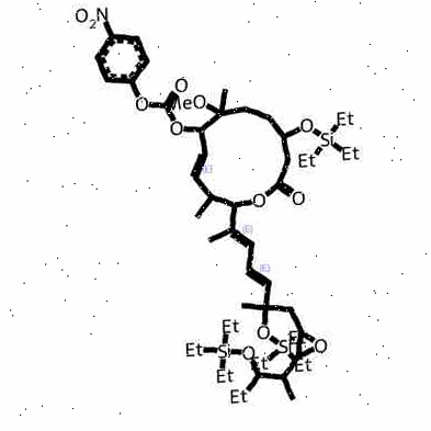 CCC(O[Si](CC)(CC)CC)C(C)C1OC1CC(C)(/C=C/C=C(\C)C1OC(=O)CC(O[Si](CC)(CC)CC)CCC(C)(OC)C(OC(=O)Oc2ccc([N+](=O)[O-])cc2)/C=C/C1C)O[Si](CC)(CC)CC